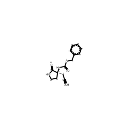 C#CC[C@]1(NC(=O)OCc2ccccc2)CCNC1=O